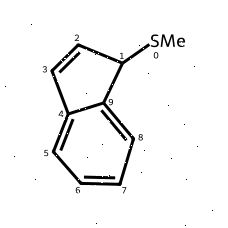 CSC1C=Cc2ccccc21